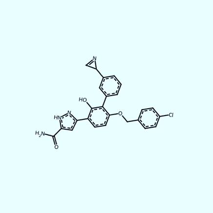 NC(=O)c1cc(-c2ccc(OCc3ccc(Cl)cc3)c(-c3cccc(C4C=N4)c3)c2O)n[nH]1